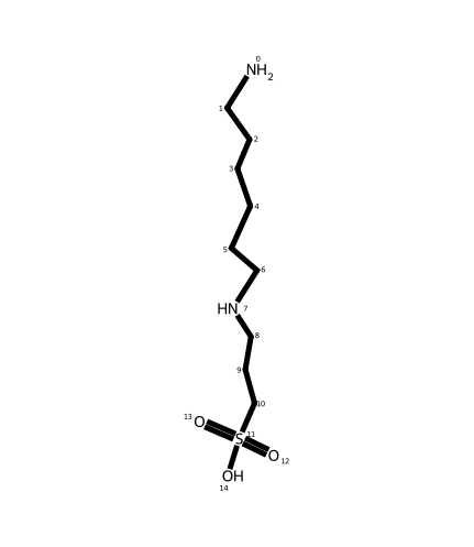 NCCCCCCNCCCS(=O)(=O)O